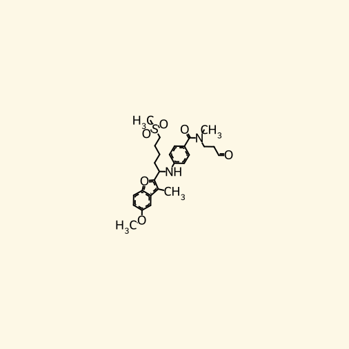 COc1ccc2oc(C(CCCCS(C)(=O)=O)Nc3ccc(C(=O)N(C)CCC=O)cc3)c(C)c2c1